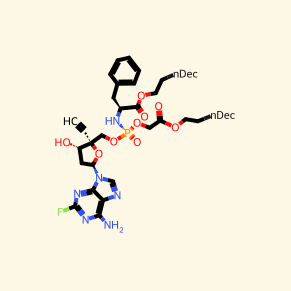 C#C[C@]1(CO[P@](=O)(N[C@@H](Cc2ccccc2)C(=O)OCCCCCCCCCCCC)OCC(=O)OCCCCCCCCCCCC)O[C@@H](n2cnc3c(N)nc(F)nc32)C[C@@H]1O